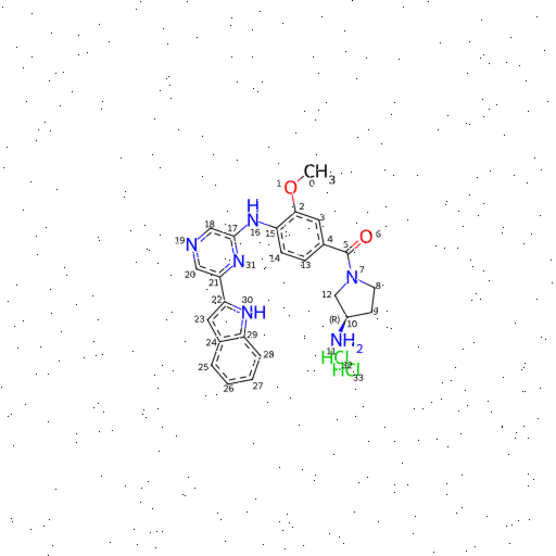 COc1cc(C(=O)N2CC[C@@H](N)C2)ccc1Nc1cncc(-c2cc3ccccc3[nH]2)n1.Cl.Cl